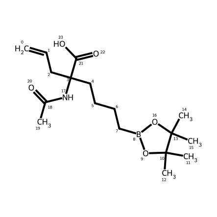 C=CCC(CCCCB1OC(C)(C)C(C)(C)O1)(NC(C)=O)C(=O)O